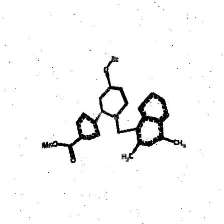 CCO[C@H]1CCN(Cc2c(C)cc(C)c3ccccc23)[C@H](c2ccc(C(=O)OC)cc2)C1